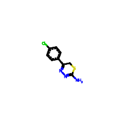 NC1=NN=C(c2ccc(Cl)cc2)CS1